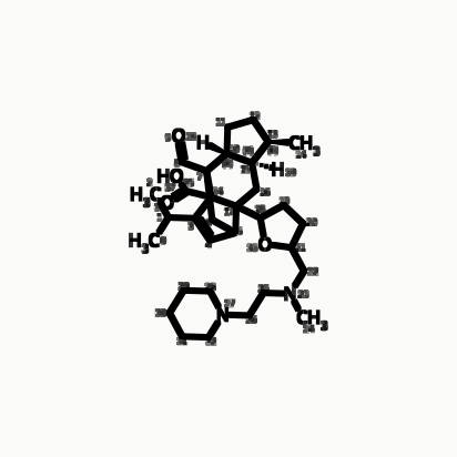 CC(C)C1=CC2CC3(C=O)[C@@H]4CC[C@@H](C)[C@H]4CC2(C2CCC(CN(C)CCN4CCCCC4)O2)C13C(=O)O